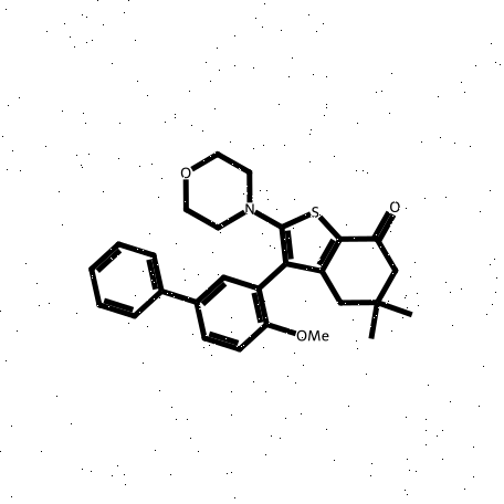 COc1ccc(-c2ccccc2)cc1-c1c(N2CCOCC2)sc2c1CC(C)(C)CC2=O